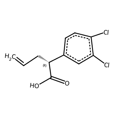 C=CC[C@@H](C(=O)O)c1ccc(Cl)c(Cl)c1